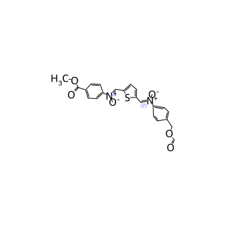 COC(=O)c1ccc(/[N+]([O-])=C/c2ccc(/C=[N+](\[O-])c3ccc(COC=O)cc3)s2)cc1